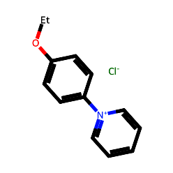 CCOc1ccc(-[n+]2ccccc2)cc1.[Cl-]